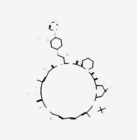 [2H]C([2H])([2H])O[C@H]1C[C@@H]2CC([2H])([2H])[C@@H](C)[C@@](O)(O2)C(=O)C(=O)N2CCCC[C@H]2C(=O)O[C@H]([C@H](C)C[C@@H]2CC[C@H](n3cnnn3)[C@H](OC)C2)CC(=O)[C@H](C)/C=C(\C)[C@@H](O)[C@@H](OC)C(=C)[C@H](C)C[C@H](C)/C=C/C=C/C=C/1C